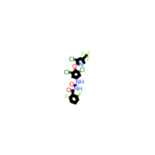 O=C(NC(=O)c1c(F)cccc1F)Nc1cc(Cl)c(Oc2ncc(C(F)(F)F)cc2Cl)c(Cl)c1